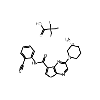 N#Cc1ccccc1NC(=O)c1csc2ncc(N3CCC[C@@H](N)C3)nc12.O=C(O)C(F)(F)F